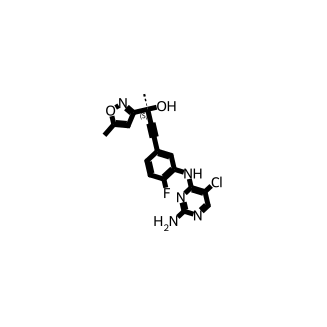 Cc1cc([C@@](C)(O)C#Cc2ccc(F)c(Nc3nc(N)ncc3Cl)c2)no1